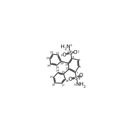 NS(=O)(=O)c1ccc(S(N)(=O)=O)c(-c2ccccc2)c1-c1ccccc1